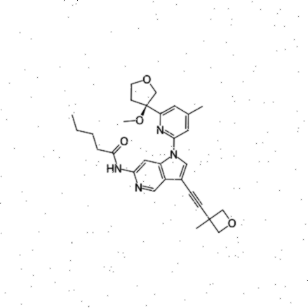 CCCCC(=O)Nc1cc2c(cn1)c(C#CC1(C)COC1)cn2-c1cc(C)cc([C@]2(OC)CCOC2)n1